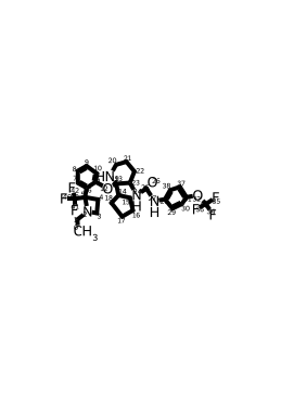 CCN1CCC1(c1ccccc1OC1(C2CCCC2)NCCCC1NC(=O)Nc1ccc(OC(F)(F)F)cc1)C(F)(F)F